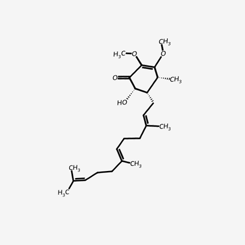 COC1=C(OC)[C@H](C)[C@H](C/C=C(\C)CC/C=C(\C)CCC=C(C)C)[C@H](O)C1=O